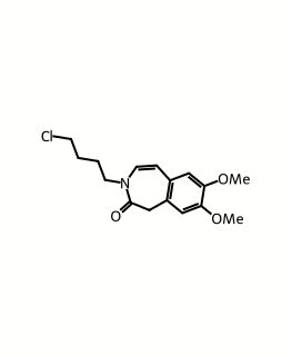 COc1cc2c(cc1OC)CC(=O)N(CCCCCl)C=C2